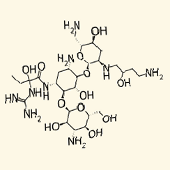 CCC(O)(NC(=N)N)C(=O)N[C@@H]1C[C@H](N)C(O[C@H]2O[C@H](CN)[C@@H](O)C[C@H]2NCC(O)CCN)[C@H](O)[C@H]1O[C@H]1O[C@H](CO)[C@@H](O)[C@H](N)[C@H]1O